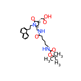 CC(C)(C)OC(=O)NCCCCCC(=O)NC[C@@H]1C[C@@H](CC(=O)O)C(=O)N1CCc1cccc2ccccc12